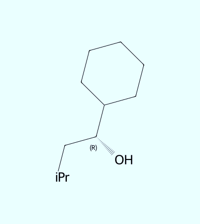 CC(C)C[C@@H](O)C1CCCCC1